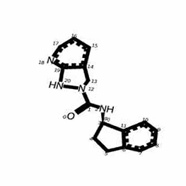 O=C(N[C@@H]1CCc2ccccc21)N1Cc2cccnc2N1